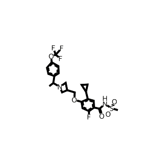 CC(c1ccc(OC(F)(F)F)cc1)N1CC(COc2cc(F)c(C(=O)NS(C)(=O)=O)cc2C2CC2)C1